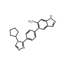 Cc1cc2[nH]ncc2cc1-c1ccc(-c2nncn2C2CCCC2)cc1